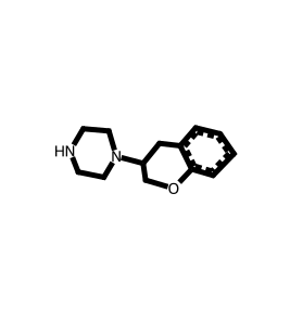 c1ccc2c(c1)CC(N1CCNCC1)CO2